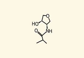 CC(C)C(=O)N[C@@H]1COC[C@@H]1O